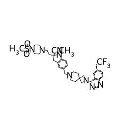 CN1c2ccc(CN3CCC4(CC3)CN(c3ncnc5ccc(CC(F)(F)F)cc35)C4)cc2CC1(C#N)CCN1CCN(S(C)(=O)=O)CC1